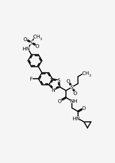 CCCS(=O)(=O)C(C(=O)NCC(=O)NC1CC1)c1nc2cc(F)c(-c3ccc(NS(C)(=O)=O)cc3)cc2s1